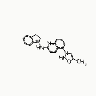 CC1=CN(c2cccc3nc(N[C@@H]4CCc5ccccc54)ccc23)NO1